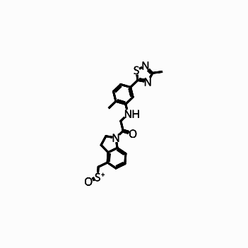 Cc1nsc(-c2ccc(C)c(NCC(=O)N3CCc4c(C[S+]=O)cccc43)c2)n1